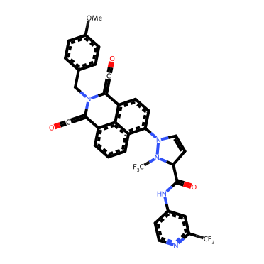 COc1ccc(CN2C(=C=O)c3cccc4c(N5C=CC(C(=O)Nc6ccnc(C(F)(F)F)c6)N5C(F)(F)F)ccc(c34)C2=C=O)cc1